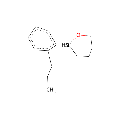 CCCc1ccccc1[SiH]1CCCCO1